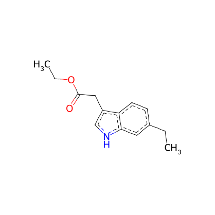 CCOC(=O)Cc1c[nH]c2cc(CC)ccc12